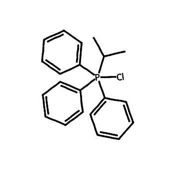 CC(C)P(Cl)(c1ccccc1)(c1ccccc1)c1ccccc1